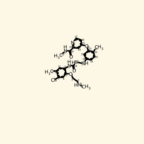 CNCCOc1cc(Cl)c(C)cc1NC(=O)NNc1ccc(C)c(Oc2ccnc(C(=O)NC)c2)c1